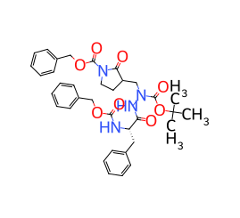 CC(C)(C)OC(=O)N(CC1CCN(C(=O)OCc2ccccc2)C1=O)NC(=O)[C@H](Cc1ccccc1)NC(=O)OCc1ccccc1